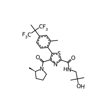 Cc1cc(C(C)(C(F)(F)F)C(F)(F)F)ccc1-c1sc(C(=O)NCC(C)(C)O)nc1C(=O)N1CCC[C@H]1C